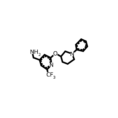 NCc1cc(OC2CCCN(c3ccccc3)C2)nc(C(F)(F)F)c1